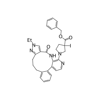 CCn1cc2c(n1)CCCc1ccccc1-c1ccnc(N3CCC(I)(C(=O)OCc4ccccc4)C3)c1NC2=O